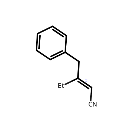 CC/C(=C\C#N)Cc1ccccc1